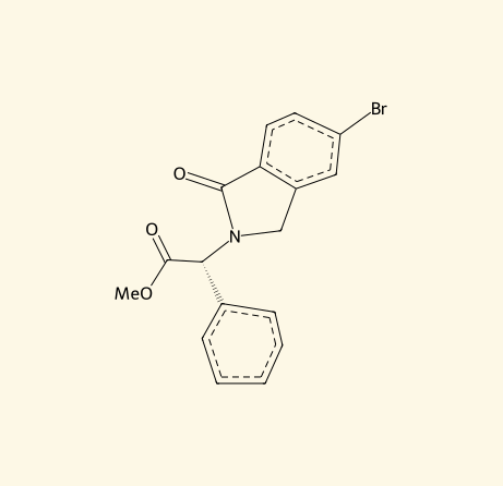 COC(=O)[C@@H](c1ccccc1)N1Cc2cc(Br)ccc2C1=O